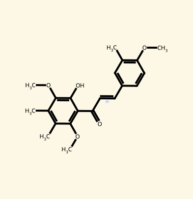 COc1ccc(/C=C/C(=O)c2c(O)c(OC)c(C)c(C)c2OC)cc1C